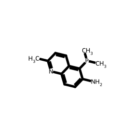 Cc1ccc2c(P(C)C)c(N)ccc2n1